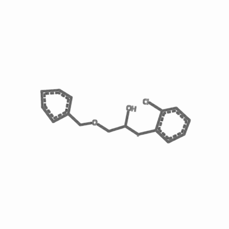 OC([CH]c1ccccc1Cl)COCc1ccccc1